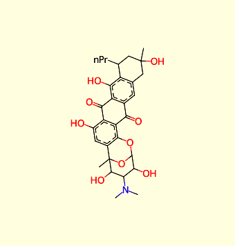 CCCC1CC(C)(O)Cc2cc3c(c(O)c21)C(=O)c1c(O)cc2c(c1C3=O)OC1OC2(C)C(O)C(N(C)C)C1O